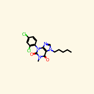 CCCCCn1cnc2c1c(=O)n(C)c(=O)n2-c1ccc(Cl)cc1Cl